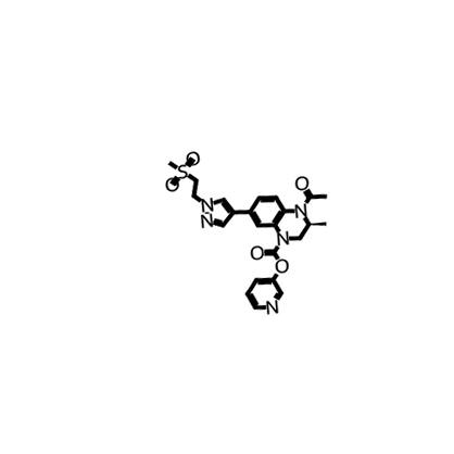 CC(=O)N1c2ccc(-c3cnn(CCS(C)(=O)=O)c3)cc2N(C(=O)Oc2cccnc2)C[C@@H]1C